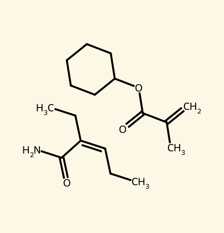 C=C(C)C(=O)OC1CCCCC1.CCC=C(CC)C(N)=O